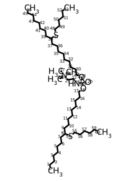 CCCCCCCCC(CCCCCCCCCOP(=O)(NCC[N+](C)(C)C)OCCCCCCCCCC(CCCCCCCC)SCCCCCC)SCCCCCC